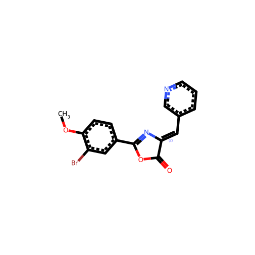 COc1ccc(C2=N/C(=C\c3cccnc3)C(=O)O2)cc1Br